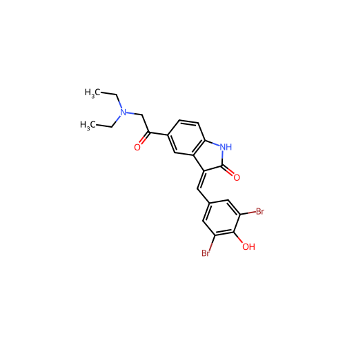 CCN(CC)CC(=O)c1ccc2c(c1)/C(=C/c1cc(Br)c(O)c(Br)c1)C(=O)N2